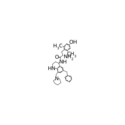 Cc1cc(O)cc(C)c1C[C@H](N)C(=O)N[C@@H]1CCNc2c(CN3CCCCC3)cc(Cc3ccccc3)cc21